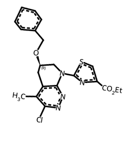 CCOC(=O)c1csc(N2C[C@H](OCc3ccccc3)Cc3c2nnc(Cl)c3C)n1